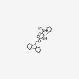 CC(C)NC(=O)[C@H](Cc1ccccc1)NC(=O)OCC1c2ccccc2-c2ccccc21